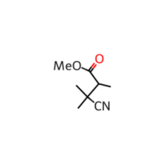 COC(=O)C(C)C(C)(C)C#N